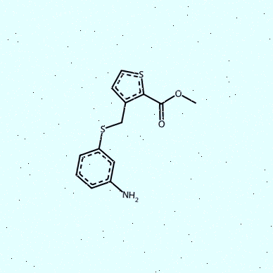 COC(=O)c1sccc1CSc1cccc(N)c1